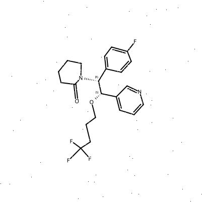 O=C1CCCCN1[C@H](c1ccc(F)cc1)[C@@H](OCCCC(F)(F)F)c1cccnc1